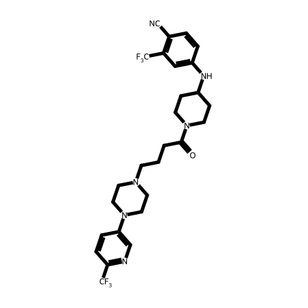 N#Cc1ccc(NC2CCN(C(=O)CCCN3CCN(c4ccc(C(F)(F)F)nc4)CC3)CC2)cc1C(F)(F)F